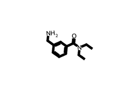 CCN(CC)C(=O)c1cccc(CN)c1